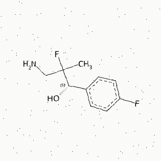 CC(F)(CN)[C@@H](O)c1ccc(F)cc1